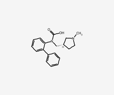 CN1CC[C@H](CN(C(=O)O)c2ccccc2-c2ccccc2)C1